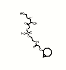 C[C@@H](CCO)C(O)C(=O)COP(=O)(O)OCCNC(=O)COC1CCCCCC2C=C21